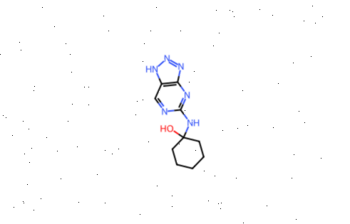 OC1(Nc2ncc3[nH]nnc3n2)CCCCC1